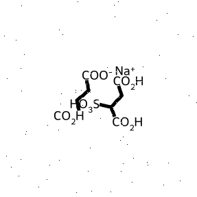 O=C(O)CC(C(=O)O)S(=O)(=O)O.O=C([O-])CCC(=O)O.[Na+]